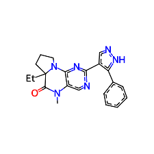 CCC12CCCN1c1nc(-c3cn[nH]c3-c3ccccc3)ncc1N(C)C2=O